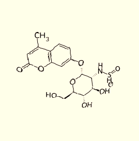 Cc1cc(=O)oc2cc(O[C@H]3O[C@H](CO)[C@@H](O)[C@H](O)[C@H]3N[SH](=O)=O)ccc12